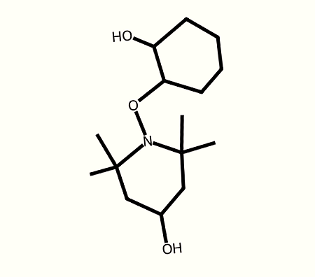 CC1(C)CC(O)CC(C)(C)N1OC1CCCCC1O